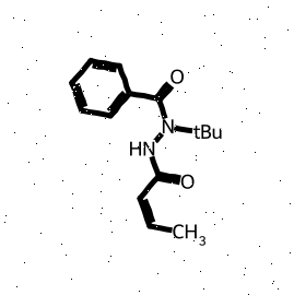 C/C=C\C(=O)NN(C(=O)c1ccccc1)C(C)(C)C